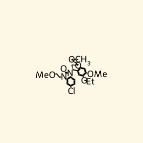 CCOc1cc([C@H](CS(C)(=O)=O)n2c(=O)n(CCOC)c3cc(Cl)ccc32)ccc1OC